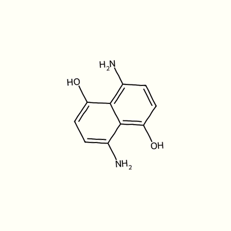 Nc1ccc(O)c2c(N)ccc(O)c12